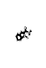 CN(C)C(=O)c1cc2ccccc2n1C